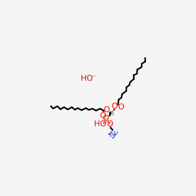 CCCCCCCCCCCCCCCC(=O)OC[C@H](COP(O)OCC[N+](C)(C)C)OC(=O)CCCCCCCCCCCCCCC.[OH-]